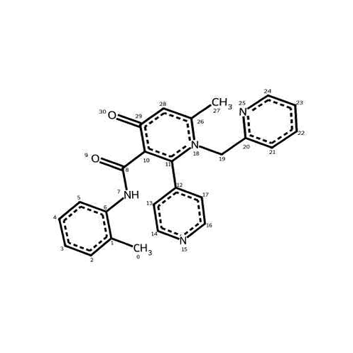 Cc1ccccc1NC(=O)c1c(-c2ccncc2)n(Cc2ccccn2)c(C)cc1=O